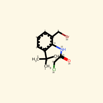 CC(C)(C)c1cccc(CBr)c1NC(=O)CCl